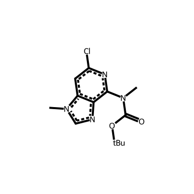 CN(C(=O)OC(C)(C)C)c1nc(Cl)cc2c1ncn2C